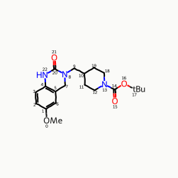 COc1ccc2c(c1)CN(CC1CCN(C(=O)OC(C)(C)C)CC1)C(=O)N2